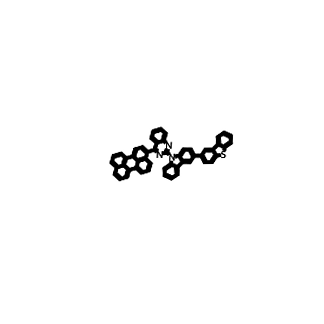 c1ccc2c(-c3ccc4c5cccc6cccc(c7cccc3c74)c65)nc(-n3c4ccccc4c4cc(-c5ccc6sc7ccccc7c6c5)ccc43)nc2c1